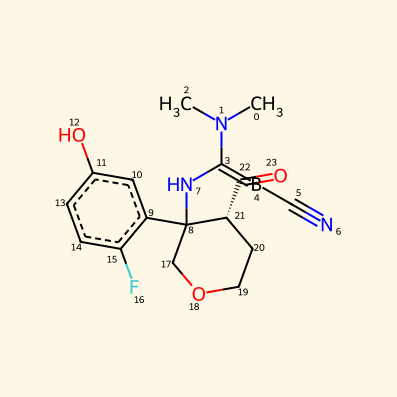 CN(C)C(=BC#N)NC1(c2cc(O)ccc2F)COCC[C@H]1C=O